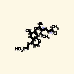 C=N/C(=C\C=C(/C)Cl)[C@@H](CC)Oc1cc2c(cc1Cl)N(CCC(=O)O)CCO2